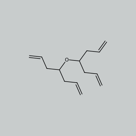 C=CCC(CC=C)OC(CC=C)CC=C